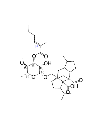 CCC/C=C(\C)C(=O)O[C@H]1[C@H](O)[C@H](OCC23CC4C(C)CCC4C4(C=O)CC2C=C(C(C)C)C43C(=O)O)O[C@H](C)[C@H]1OC